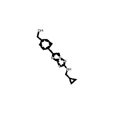 OCc1ccc(-c2cn3nc(NCC4CC4)sc3n2)cc1